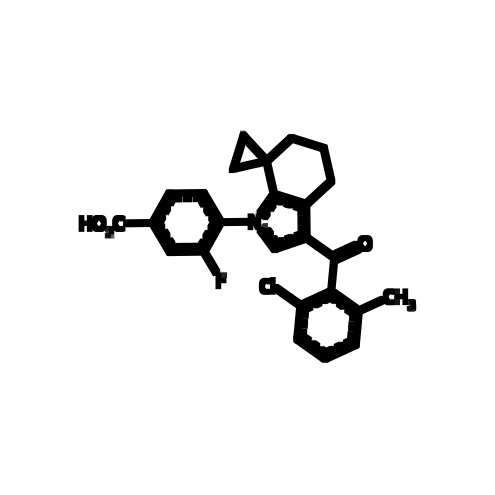 Cc1cccc(Cl)c1C(=O)c1cn(-c2ccc(C(=O)O)cc2F)c2c1CCCC21CC1